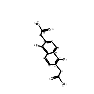 O=C(O)Cc1ccc2c(F)c(CC(=O)O)ccc2c1F